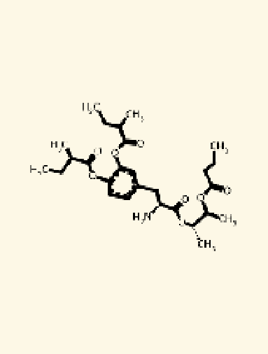 CCCC(=O)OC(C)[C@H](C)OC(=O)[C@@H](N)Cc1ccc(OC(=O)C(C)CC)c(OC(=O)C(C)CC)c1